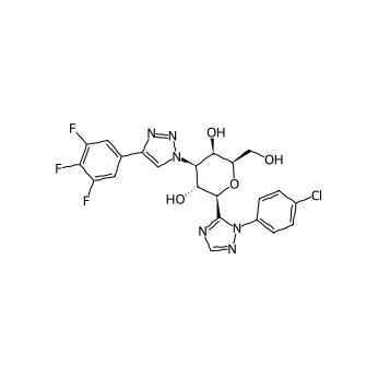 OC[C@H]1O[C@@H](c2ncnn2-c2ccc(Cl)cc2)[C@H](O)[C@@H](n2cc(-c3cc(F)c(F)c(F)c3)nn2)[C@H]1O